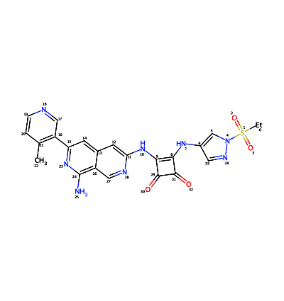 CCS(=O)(=O)n1cc(Nc2c(Nc3cc4cc(-c5cnccc5C)nc(N)c4cn3)c(=O)c2=O)cn1